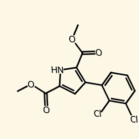 COC(=O)c1cc(-c2cccc(Cl)c2Cl)c(C(=O)OC)[nH]1